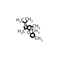 CCC(CC)n1cc(C)c2c(Oc3ccc(C)cc3C)nc(C)cc21